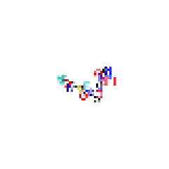 Cn1ccc2c(=O)n(CC3(O)CCN(C(=O)[C@@H]4CCN(C(=O)c5sc(-c6ccc(OCC(F)(F)F)nc6)cc5F)C[C@H]4c4ccccc4)CC3)cnc21